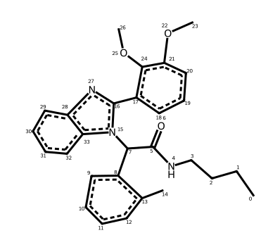 CCCCNC(=O)C(c1ccccc1C)n1c(-c2cccc(OC)c2OC)nc2ccccc21